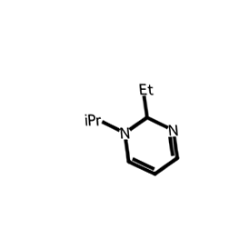 CCC1N=CC=CN1C(C)C